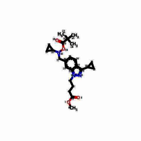 COC(=O)CCCn1nc(C2CC2)c2ccc(CN(OC(=O)C(C)(C)C)C3CC3)cc21